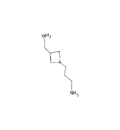 NCCCN1CC(CN)C1